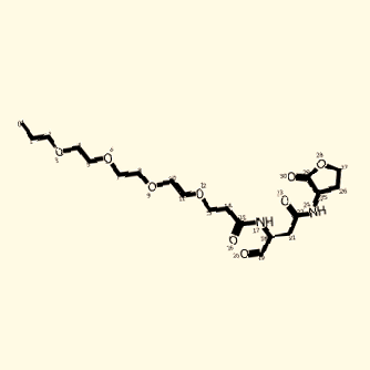 CCCOCCOCCOCCOCCC(=O)N[C@H](C=O)CC(=O)NC1CCOC1=O